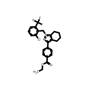 CCOC(=O)c1ccc(-c2nn(Cc3c(Cl)cccc3C(F)(F)F)c3c2CCCC3)cc1